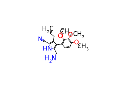 C=CCc1c(C#N)[nH]c(CN)c1-c1ccc(OC)c(OC)c1OC